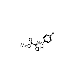 COC(=O)C(Cl)=NNc1ccc(F)cc1